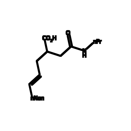 CCCCCCCCCC=CCC(CC(=O)NCCC)C(=O)O